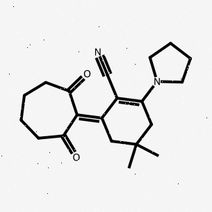 CC1(C)CC(=C2C(=O)CCCCC2=O)C(C#N)=C(N2CCCC2)C1